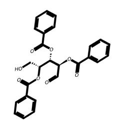 O=C[C@H](OC(=O)c1ccccc1)[C@@H](OC(=O)c1ccccc1)[C@@H](CO)OC(=O)c1ccccc1